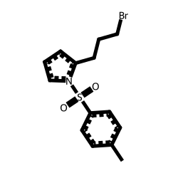 Cc1ccc(S(=O)(=O)n2cccc2CCCBr)cc1